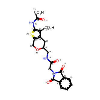 O=C(CN1C(=O)c2ccccc2C1=O)NCC1Cc2c(sc(NC(=O)C(=O)O)c2C(=O)O)CO1